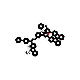 C=Cc1cccc(-c2ccc3c(c2)C2(c4ccccc4-3)c3ccccc3-c3ccc(-c4ccc5c(c4)c4cc(C/C=C(/c6ccc(-c7ccccc7)cc6)c6ccc7c(c6)C(C)(C)c6ccccc6-7)ccc4n5-c4ccccc4)cc32)c1